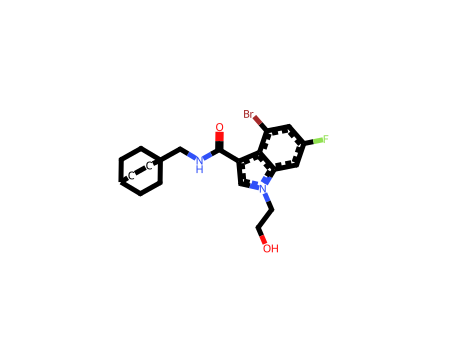 O=C(NCC12CCC(CC1)CC2)c1cn(CCO)c2cc(F)cc(Br)c12